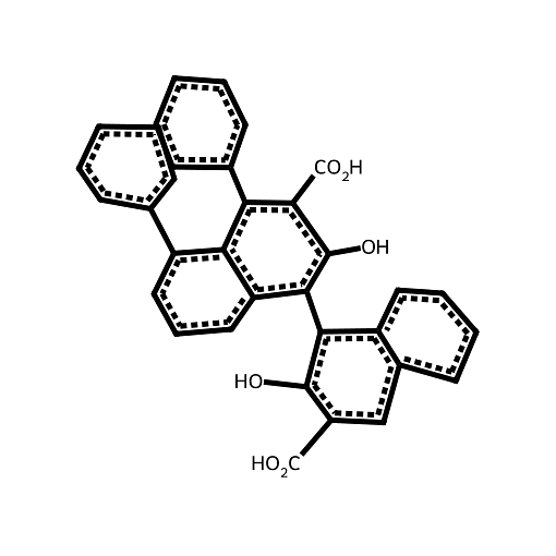 O=C(O)c1cc2ccccc2c(-c2c(O)c(C(=O)O)c(-c3ccccc3)c3c(-c4ccccc4)cccc23)c1O